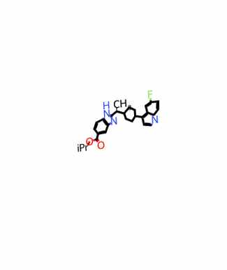 CC(C)OC(=O)c1ccc2[nH]c([C@H](C)C3CCC(c4ccnc5ccc(F)cc45)CC3)nc2c1